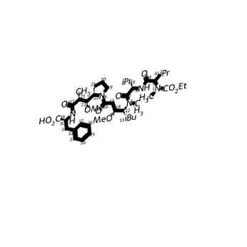 CCOC(=O)N(C)C(C(=O)N[C@H](C(=O)N(C)[C@@H]([C@@H](C)CC)[C@@H](CC(=O)N1CCC[C@H]1[C@H](OC)[C@@H](C)C(=O)N[C@@H](Cc1ccccc1)C(=O)O)OC)C(C)C)C(C)C